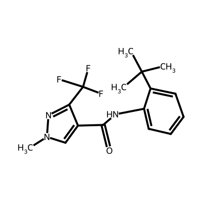 Cn1cc(C(=O)Nc2ccccc2C(C)(C)C)c(C(F)(F)F)n1